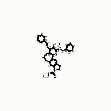 CC(C)(C)OC(=O)N1CCc2cc3c(cc21)CCOc1c-3nc(OCc2ccccc2)c(C(=O)O)c1OCc1ccccc1